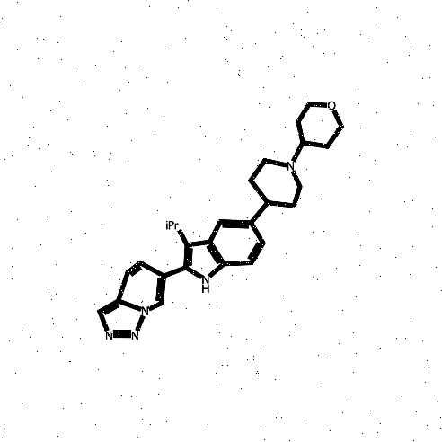 CC(C)c1c(-c2ccc3cnnn3c2)[nH]c2ccc(C3CCN(C4CCOCC4)CC3)cc12